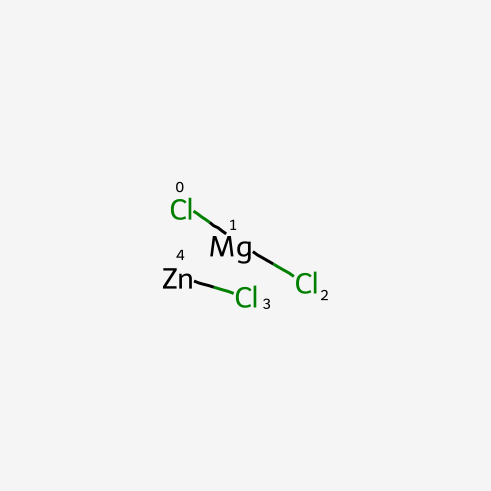 [Cl][Mg][Cl].[Cl][Zn]